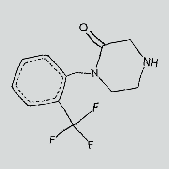 O=C1CNCCN1c1ccccc1C(F)(F)F